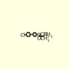 CCC(C)(C)C(=O)Oc1ccc(-c2ccc(Cl)cc2)cc1